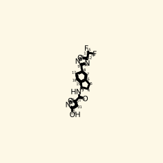 O=C(N[C@@H]1CCc2cc(-c3noc(C(F)F)n3)ccc21)c1cc(O)no1